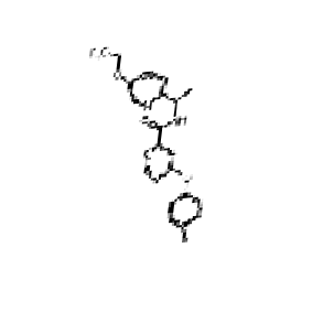 C[C@@H](NC(=O)c1cccc(Oc2ccc(F)cc2)c1)c1ccc(OCC(F)(F)F)cn1